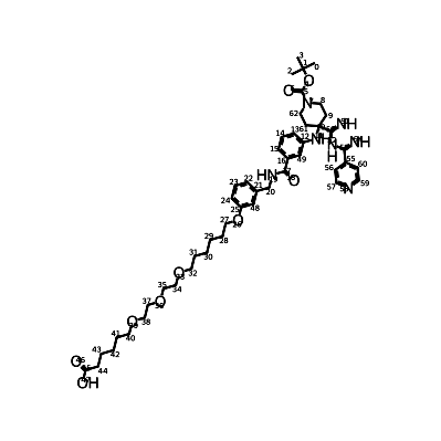 CC(C)(C)OC(=O)N1CCC(Nc2cccc(C(=O)NCc3cccc(OCCCCCCOCCOCCOCCCCCC(=O)O)c3)c2)(C(=N)NC(=N)c2ccncc2)CC1